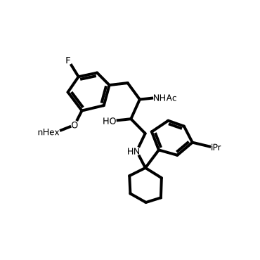 CCCCCCOc1cc(F)cc(CC(NC(C)=O)C(O)CNC2(c3cccc(C(C)C)c3)CCCCC2)c1